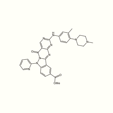 COC(=O)c1ccc2c(c1)c1nc3nc(Nc4ccc(N5CCN(C)CC5)c(C)c4)ncc3c(=O)n1n2-c1ccccn1